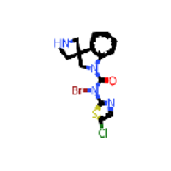 O=C(N(Br)c1ncc(Cl)s1)N1CC2(CCNC2)c2ccccc21